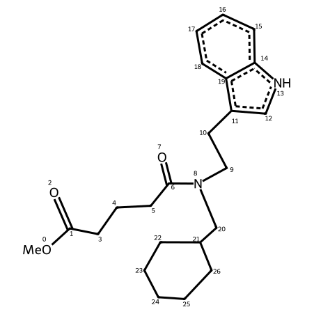 COC(=O)CCCC(=O)N(CCc1c[nH]c2ccccc12)CC1CCCCC1